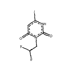 O=c1cc(I)[nH]c(=O)n1CC(F)F